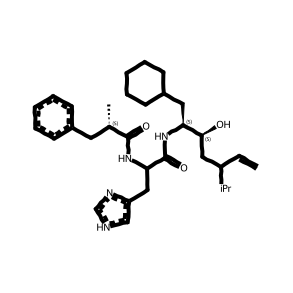 C=CC(C[C@H](O)[C@H](CC1CCCCC1)NC(=O)C(Cc1c[nH]cn1)NC(=O)[C@@H](C)Cc1ccccc1)C(C)C